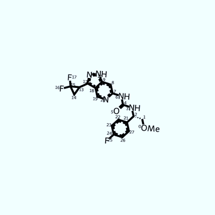 COC[C@@H](NC(=O)Nc1cc2[nH]nc(C3CC3(F)F)c2cn1)c1ccc(F)cc1